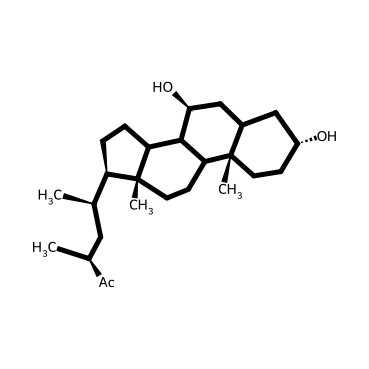 CC(=O)[C@@H](C)C[C@@H](C)[C@H]1CCC2C3C(CC[C@@]21C)[C@@]1(C)CC[C@@H](O)CC1C[C@@H]3O